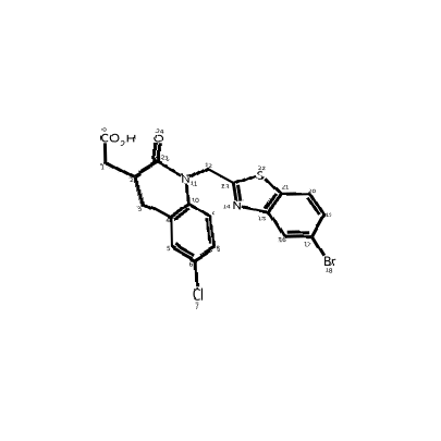 O=C(O)CC1Cc2cc(Cl)ccc2N(Cc2nc3cc(Br)ccc3s2)C1=O